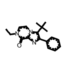 CCn1ccn2c(C(C)(C)C)c(-c3ccccc3)nc2c1=O